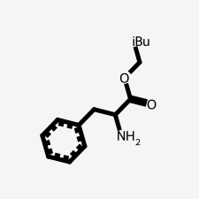 CCC(C)COC(=O)C(N)Cc1ccccc1